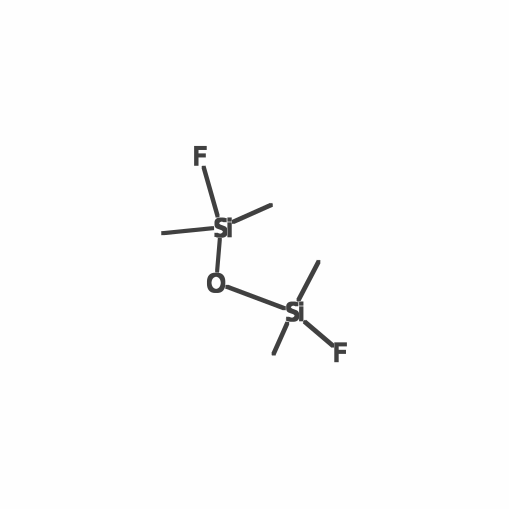 C[Si](C)(F)O[Si](C)(C)F